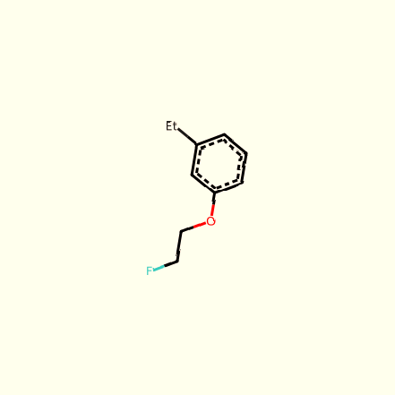 CCc1cccc(OCCF)c1